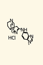 Cl.Cn1cnc2cc(NC3=NO[C@@]4(C3)CN3CCC4CC3)ccc21